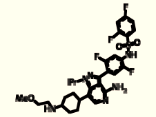 COCCNC1CCC(c2cnc(N)c3c(-c4cc(F)c(NS(=O)(=O)c5ccc(F)cc5F)cc4F)nn(C(C)C)c23)CC1